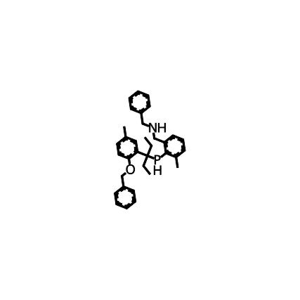 CCC(CC)(Pc1c(C)cccc1CNCc1ccccc1)c1cc(C)ccc1OCc1ccccc1